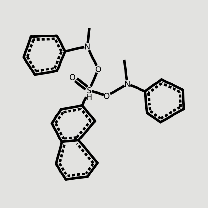 CN(O[SH](=O)(ON(C)c1ccccc1)c1ccc2ccccc2c1)c1ccccc1